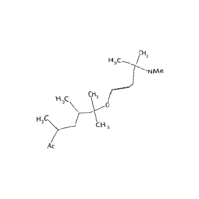 CNC(C)(C)CCOC(C)(C)C(C)CC(C)C(C)=O